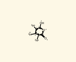 [2H]c1c(O)oc(=O)c([2H])c1[2H]